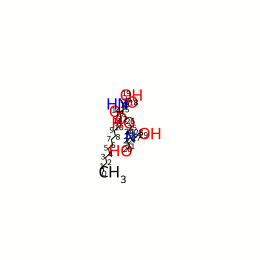 CCCCCCCCCCCCOC(=O)CNC(=O)O.OCCN(CCO)CCO